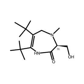 CN1CC(C(C)(C)C)=C(C(C)(C)C)NC(=O)[C@@H]1CO